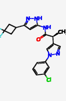 C[C@H](C(=O)Nc1cc(C2CC(F)(F)C2)n[nH]1)c1cnn(-c2cccc(Cl)c2)c1